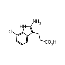 Nc1[nH]c2c(Cl)cccc2c1CCC(=O)O